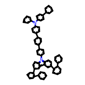 c1ccc(-c2ccc(N(c3ccccc3)c3ccc(-c4ccc(-c5ccc(-n6c7ccc(-c8ccccc8-c8ccccc8)cc7c7cc(-c8ccccc8-c8ccccc8)ccc76)cc5)cc4)cc3)cc2)cc1